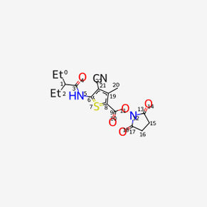 CCC(CC)C(=O)Nc1sc(C(=O)ON2C(=O)CCC2=O)c(C)c1C#N